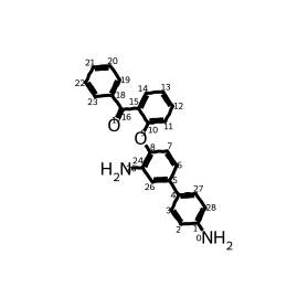 Nc1ccc(-c2ccc(Oc3ccccc3C(=O)c3ccccc3)c(N)c2)cc1